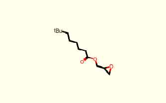 CC(C)(C)CCCCCC(=O)OCC1CO1